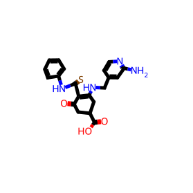 Nc1cc(CNC2=C(C(=S)Nc3ccccc3)C(=O)CC(C(=O)O)C2)ccn1